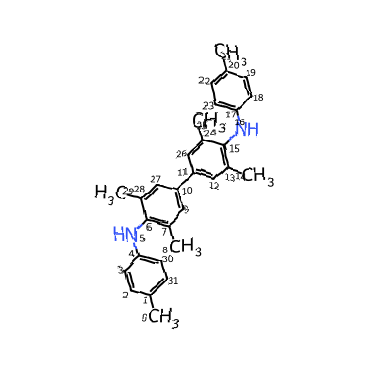 Cc1ccc(Nc2c(C)cc(-c3cc(C)c(Nc4ccc(C)cc4)c(C)c3)cc2C)cc1